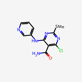 CSc1nc(Cl)c(C(N)=O)c(Nc2cccnc2)n1